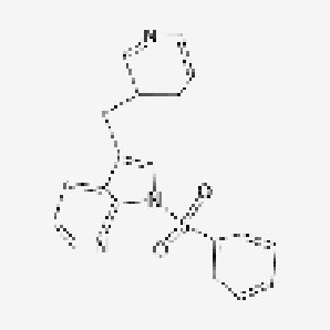 O=S(=O)(c1ccccc1)n1cc(Cc2cccnc2)c2cccnc21